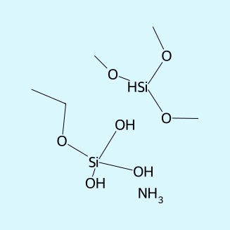 CCO[Si](O)(O)O.CO[SiH](OC)OC.N